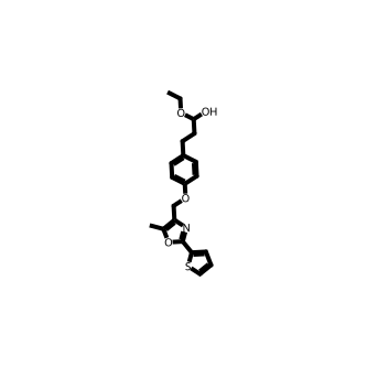 CCOC(O)CCc1ccc(OCc2nc(-c3cccs3)oc2C)cc1